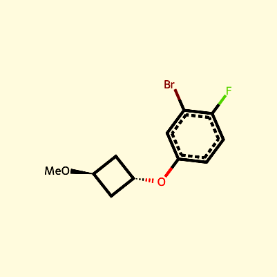 CO[C@H]1C[C@H](Oc2ccc(F)c(Br)c2)C1